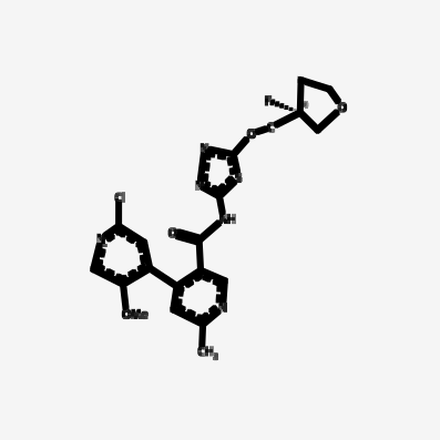 COc1cnc(Cl)cc1-c1cc(C)ncc1C(=O)Nc1nnc(OC[C@@]2(F)CCOC2)s1